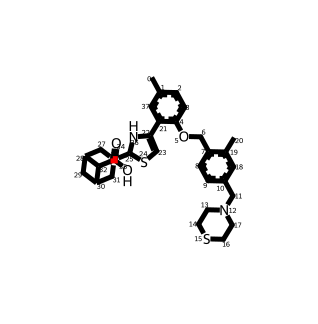 Cc1ccc(OCc2ccc(CN3CCSCC3)cc2C)c(C2=CSC(N3CC4CC(C3)C4C(=O)O)N2)c1